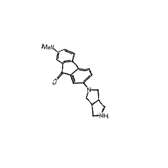 CNc1ccc2c(c1)C(=O)c1cc(N3CC4CNCC4C3)ccc1-2